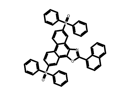 O=P(c1ccccc1)(c1ccccc1)c1ccc2c3ccc(P(=O)(c4ccccc4)c4ccccc4)cc3c3oc(-c4cccc5ccccc45)nc3c2c1